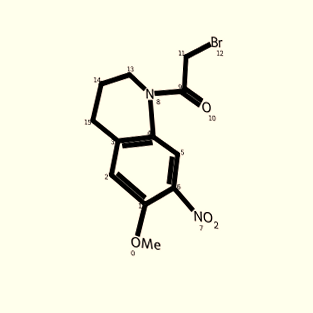 COc1cc2c(cc1[N+](=O)[O-])N(C(=O)CBr)CCC2